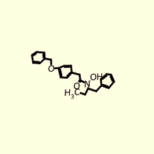 CCC(Cc1ccccc1)N(O)C(=O)Cc1ccc(OCc2ccccc2)cc1